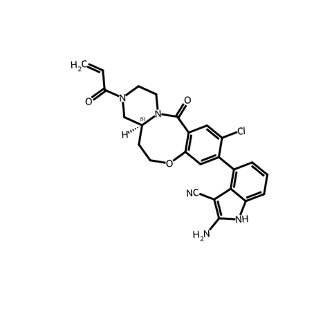 C=CC(=O)N1CCN2C(=O)c3cc(Cl)c(-c4cccc5[nH]c(N)c(C#N)c45)cc3OCC[C@H]2C1